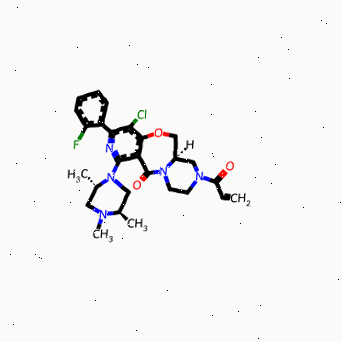 C=CC(=O)N1CCN2C(=O)c3c(N4C[C@@H](C)N(C)C[C@@H]4C)nc(-c4ccccc4F)c(Cl)c3OC[C@H]2C1